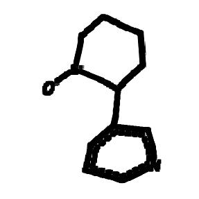 [O-][S+]1CCCCC1c1cccnc1